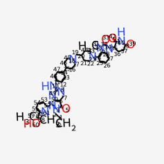 C=CCn1c(=O)c2cnc(Nc3ccc(C4CCN(CC5CCN(c6cccc7c6n(C)c(=O)n7C6CCC(=O)NC6=O)CC5)CC4)cc3)nc2n1-c1cccc(C(C)(C)O)n1